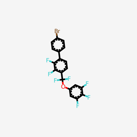 Fc1cc(OC(F)(F)c2ccc(-c3ccc(Br)cc3)c(F)c2F)cc(F)c1F